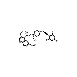 COc1ccc2ncc(CF)c([C@H](O)CCC3(CO)CCN(CC#Cc4c(F)cc(F)cc4F)CC3)c2c1